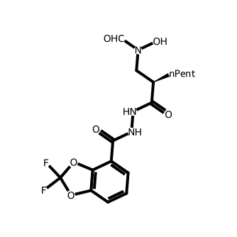 CCCCC[C@H](CN(O)C=O)C(=O)NNC(=O)c1cccc2c1OC(F)(F)O2